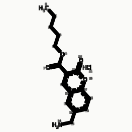 CCCCCOC(=O)c1cc2cc(CN)ccc2oc1=O.Cl